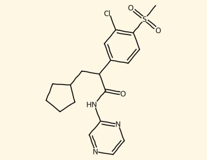 CS(=O)(=O)c1ccc(C(CC2CCCC2)C(=O)Nc2cnccn2)cc1Cl